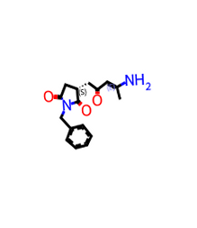 C/C(N)=C\C(=O)C[C@H]1CC(=O)N(Cc2ccccc2)C1=O